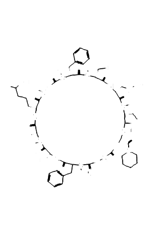 CCCCN1CC(=O)N(C)[C@@H](Cc2ccccc2)C(=O)N(C)[C@@H](CC(C)C)C(=O)N[C@@H](COC(C)(C)C)C(=O)N(C)[C@@H](CC(C)C)C(O)N[C@H](C(=O)N2CCCCC2)CC(=O)N(C)CC(=O)N(C)C(Cc2ccccc2)C(=O)N[C@@H](C(C)C)C(=O)N(C)[C@@H](CC)C(=O)N[C@@H](CCCC(O)C(F)(F)F)C1=O